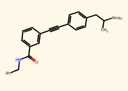 CC(=O)NC(C)Cc1ccc(C#Cc2cccc(C(=O)NCC(C)C)c2)cc1